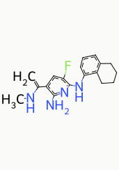 C=C(NC)c1cc(F)c(Nc2cccc3c2CCCC3)nc1N